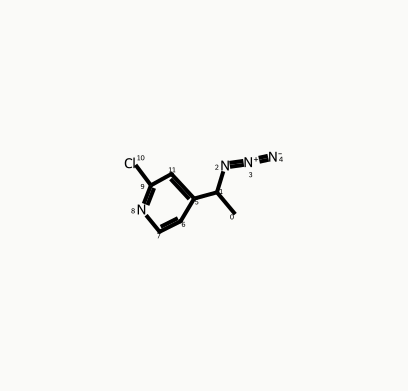 CC(N=[N+]=[N-])c1ccnc(Cl)c1